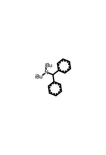 CCC(C)N(C(C)CC)C(c1ccccc1)c1ccccc1